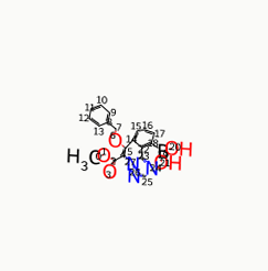 COC(=O)c1c(OCc2ccccc2)c2cccc(B(O)O)c2c2ncnn12